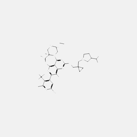 CC[C@@H]1CN2c3nc(OCC4(CN5CCC(C(F)F)C5)CC4)nc4c(F)c(-c5cc(N)nc(C)c5C(F)(F)F)nc(c34)O[C@@H](C)[C@@H]2CN1